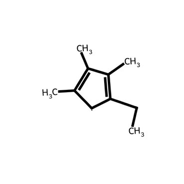 CCC1=C(C)C(C)=C(C)[CH]1